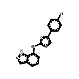 Clc1ccc(-c2cnc(Nc3cccc4cn[nH]c34)o2)cc1